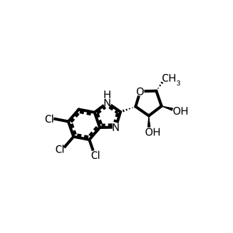 C[C@H]1O[C@@H](c2nc3c(Cl)c(Cl)c(Cl)cc3[nH]2)[C@H](O)[C@@H]1O